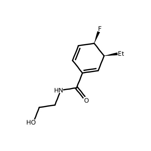 CC[C@H]1C=C(C(=O)NCCO)C=C[C@H]1F